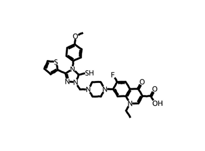 CCn1cc(C(=O)O)c(=O)c2cc(F)c(N3CCN(CN4N=C(c5cccs5)N(c5ccc(OC)cc5)C4S)CC3)cc21